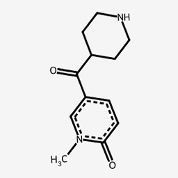 Cn1cc(C(=O)C2CCNCC2)ccc1=O